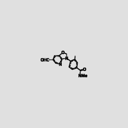 CNC(=O)c1ccc(N2COc3cc(C=O)cnc32)c(C)c1